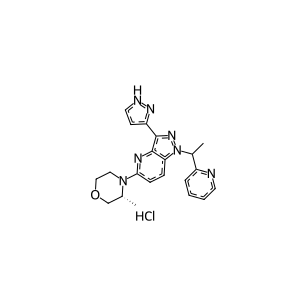 CC(c1ccccn1)n1nc(-c2cc[nH]n2)c2nc(N3CCOC[C@H]3C)ccc21.Cl